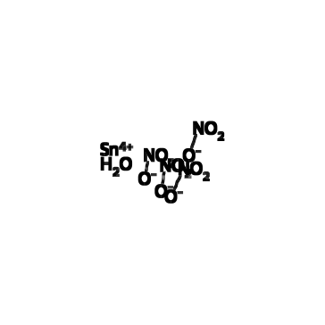 O.O=[N+]([O-])[O-].O=[N+]([O-])[O-].O=[N+]([O-])[O-].O=[N+]([O-])[O-].[Sn+4]